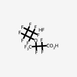 F.O=C(O)C(F)(F)C(F)(OC1(F)C(F)(F)C(F)(F)C1(F)F)C(F)(F)F